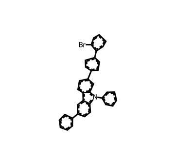 Brc1ccccc1-c1ccc(-c2ccc3c4cc(-c5ccccc5)ccc4n(-c4ccccc4)c3c2)cc1